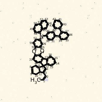 C/C=C\C1=CC2(C3=CC=CCC13)c1ccccc1-c1c2ccc2c1Oc1cc(N(c3ccc(-c4ccccc4-c4ccccc4)cc3)c3cccc4ccccc34)ccc1O2